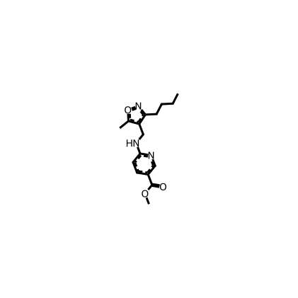 CCCCc1noc(C)c1CNc1ccc(C(=O)OC)cn1